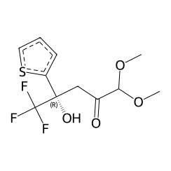 COC(OC)C(=O)C[C@](O)(c1cccs1)C(F)(F)F